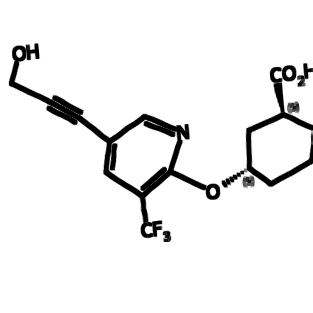 O=C(O)[C@H]1CCC[C@H](Oc2ncc(C#CCO)cc2C(F)(F)F)C1